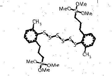 CO[Si](CCCc1cccc(C)c1SSSSSSc1c(C)cccc1CCC[Si](OC)(OC)OC)(OC)OC